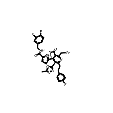 Cc1nnc(-c2c(CCc3ccc(F)cc3)nc(CC(C)C)c(C(N)=O)c2-c2ccc(C(=O)NCc3ccc(F)c(F)c3)s2)o1